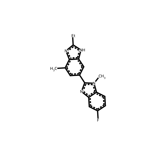 CCc1nc2c(C)cc(-c3nc4cc(F)ccc4n3C)cc2[nH]1